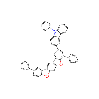 c1ccc(-c2ccc3oc4cc5oc6c(-c7ccccc7)cc(-c7ccc8c(c7)c7ccccc7n8-c7ccccc7)cc6c5cc4c3c2)cc1